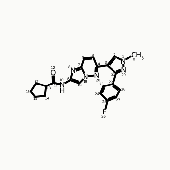 Cn1cc(-c2ccc3nc(NC(=O)C4CCCC4)cn3n2)c(-c2ccc(F)cc2)n1